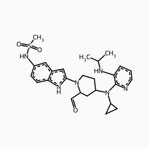 CC(C)Nc1cccnc1N(C1CC1)C1CCN(c2cc3cc(NS(C)(=O)=O)ccc3[nH]2)C(C=O)C1